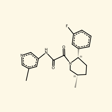 Cc1cncc(NC(=O)C(=O)N2C[C@@H](C)CC[C@H]2c2cccc(F)c2)c1